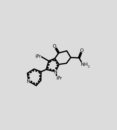 CC(C)c1c2c(n(C(C)C)c1-c1ccncc1)CC(C(N)=O)CC2=O